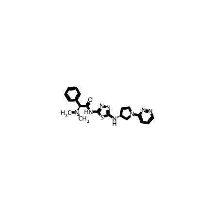 CN(C)[C@H](C(=O)Nc1nnc(N[C@@H]2CCN(c3cccnn3)C2)s1)c1ccccc1